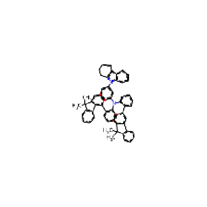 CC1(C)c2ccccc2-c2cc(-c3ccccc3N(c3cccc(-n4c5c(c6ccccc64)C=CCC5)c3)c3ccccc3-c3cccc4c3-c3ccccc3C4(C)C)ccc21